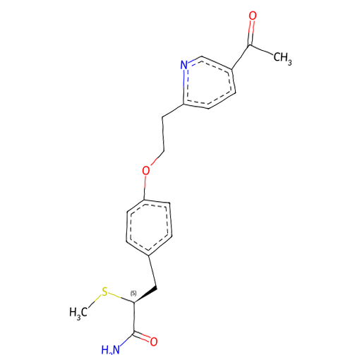 CS[C@@H](Cc1ccc(OCCc2ccc(C(C)=O)cn2)cc1)C(N)=O